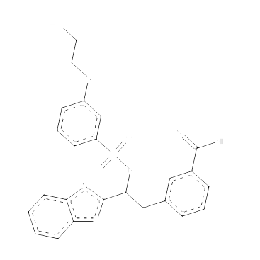 N=C(N)c1cccc(CC(NS(=O)(=O)c2cccc(NCCO)c2)c2nc3ccccc3s2)c1